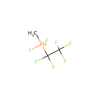 C[PH](F)(F)C(F)(F)C(F)(F)F